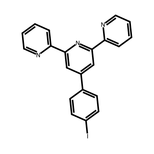 Ic1ccc(-c2cc(-c3ccccn3)nc(-c3ccccn3)c2)cc1